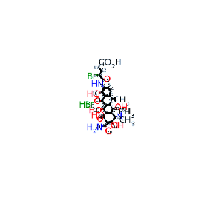 Br.CC1c2ccc(NC(=O)C(Br)CCC(=O)O)c(O)c2C(=O)C2=C(O)[C@]3(O)C(=O)C(C(N)=O)=C(O)[C@@H](N(C)C)C3C(O)C21